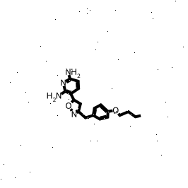 CCCCOc1ccc(CC2=NOC(c3ccc(N)nc3N)C2)cc1